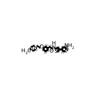 CN1CCN(CCOc2cccc(CC(=O)Nc3cc(-c4ccnc(N)c4)cs3)c2)CC1